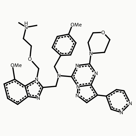 COc1ccc(CN(Cc2nc3cccc(OC)c3n2COCC[SiH](C)C)c2nc(N3CCOCC3)nc3c(-c4ccnnc4)cnn23)cc1